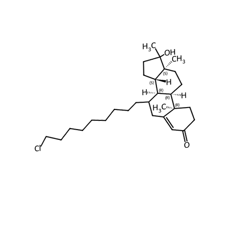 CC1(O)CC[C@H]2[C@@H]3C(CCCCCCCCCCl)CC4=CC(=O)CC[C@]4(C)[C@@H]3CC[C@@]21C